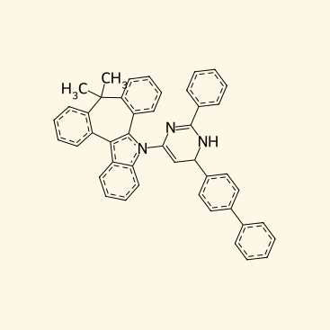 CC1(C)c2ccccc2-c2c(n(C3=CC(c4ccc(-c5ccccc5)cc4)NC(c4ccccc4)=N3)c3ccccc23)-c2ccccc21